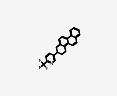 FC(F)(F)c1ccc(C2CCc3c(ccc4c3ccc3ccccc34)C2)cn1